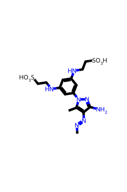 CN=Nc1c(N)nn(-c2cc(NCCS(=O)(=O)O)cc(NCCS(=O)(=O)O)c2)c1C